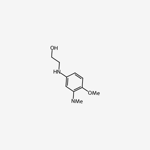 CNc1cc(NCCO)ccc1OC